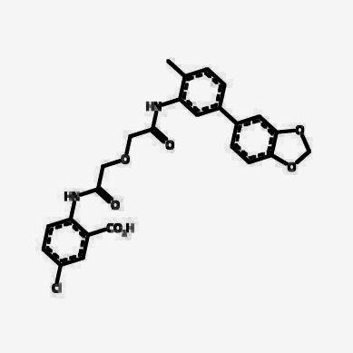 Cc1ccc(-c2ccc3c(c2)OCO3)cc1NC(=O)COCC(=O)Nc1ccc(Cl)cc1C(=O)O